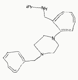 CC(C)NCc1ccccc1N1CCN(Cc2ccccc2)CC1